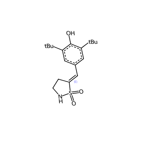 CC(C)(C)c1cc(/C=C2\CCNS2(=O)=O)cc(C(C)(C)C)c1O